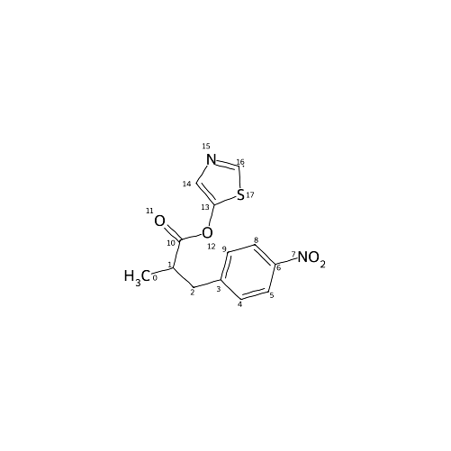 CC(Cc1ccc([N+](=O)[O-])cc1)C(=O)Oc1cn[c]s1